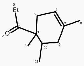 CCC(=O)C1(C)CC=C(C)CC1C